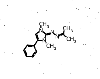 CC(C)=NN=c1n(C)cc(-c2ccccc2)n1C